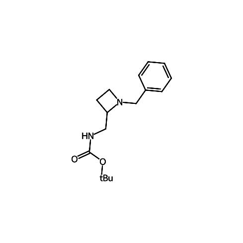 CC(C)(C)OC(=O)NCC1CCN1Cc1ccccc1